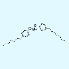 CCCCCCCc1ccc(OBOc2ccc(CCCCCCC)cc2)cc1